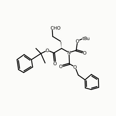 CC(C)(C)OC(=O)N(C(=O)OCc1ccccc1)[C@@H](CCC=O)C(=O)OC(C)(C)c1ccccc1